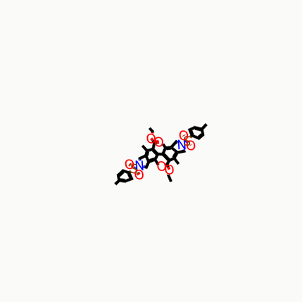 CCOC(=O)c1c(C)c2c(c(C)c1-c1c(C)c3c(c(C)c1C(=O)OCC)CN(S(=O)(=O)c1ccc(C)cc1)C3)CN(S(=O)(=O)c1ccc(C)cc1)C2